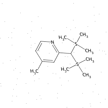 Cc1ccnc(C(S(C)(C)C)S(C)(C)C)c1